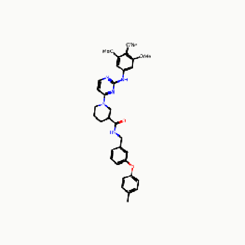 COc1cc(Nc2nccc(N3CCCC(C(=O)NCc4cccc(Oc5ccc(C)cc5)c4)C3)n2)cc(OC)c1OC